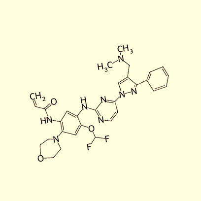 C=CC(=O)Nc1cc(Nc2nccc(-n3cc(CN(C)C)c(-c4ccccc4)n3)n2)c(OC(F)F)cc1N1CCOCC1